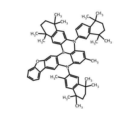 Cc1cc2c3c(c1)N(c1cc4c(cc1C)C(C)(C)CCC4(C)C)c1cc4c(cc1B3c1cc3c(cc1N2c1ccc2c(c1)C(C)(C)CCC2(C)C)C(C)(C)CCC3(C)C)oc1ccccc14